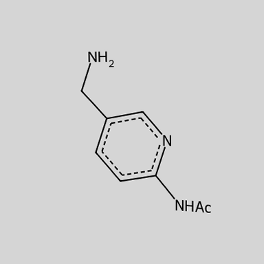 CC(=O)Nc1ccc(CN)cn1